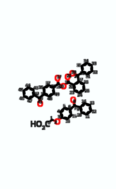 O=C(O)COc1ccc(C(=O)c2ccccc2)cc1.O=C(OC(=O)c1ccccc1C(=O)c1ccccc1)c1ccc(C(=O)c2ccccc2)cc1